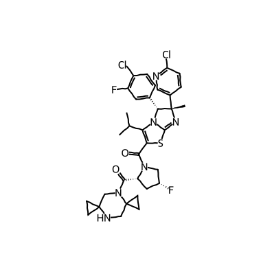 CC(C)C1=C(C(=O)N2C[C@H](F)C[C@@H]2C(=O)N2CC3(CC3)NCC23CC3)SC2=N[C@@](C)(c3ccc(Cl)nc3)[C@@H](c3ccc(Cl)c(F)c3)N21